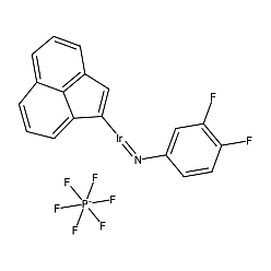 F[P-](F)(F)(F)(F)F.Fc1ccc([N]=[Ir][C]2=Cc3cccc4cccc2c34)cc1F